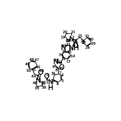 O=C(NC1=CC=CC(c2cnc(-c3ccc4[nH]c([C@@H]5CCCN5C(=O)Cc5ccccc5)nc4c3)o2)C1)[C@@H]1CCCN1C(=O)Cc1ccccc1